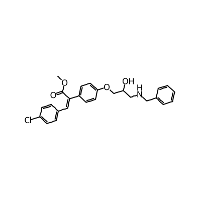 COC(=O)/C(=C\c1ccc(Cl)cc1)c1ccc(OCC(O)CNCc2ccccc2)cc1